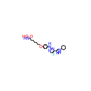 O=C(CCCCCCOc1ccc(Nc2ncc(F)c(-c3cn(C4CCCCC4)nn3)n2)cc1)NO